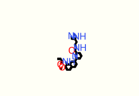 C=CC(=O)Nc1c(OC)ccc2ccc(-c3cccc(C(=O)NCCc4cnc[nH]4)n3)cc12